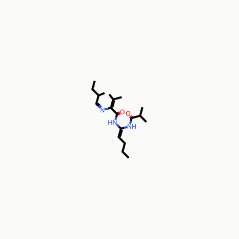 CCC/C=C(/NC(=O)C(/N=C\C(C)CC)=C(C)C)NC(=O)C(C)C